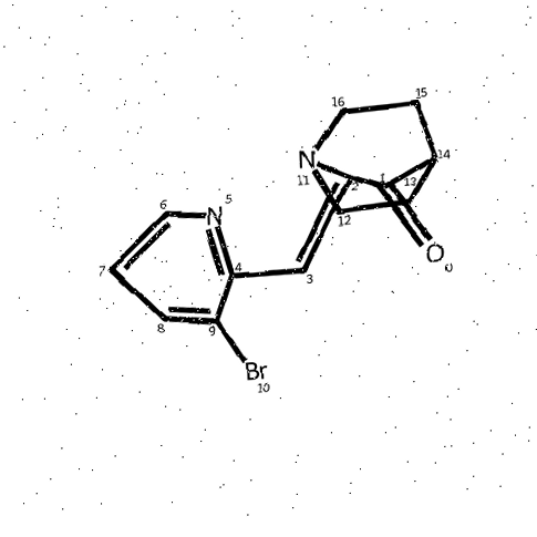 O=C1C(=Cc2ncccc2Br)N2CCC1CC2